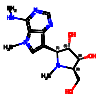 BNc1ncnc2c([C@H]3[C@H](O)[C@H](O)[C@@H](CO)N3B)cn(B)c12